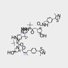 C/C(=C/C(=O)[C@@H]1C[C@@H](O)CN1C(=O)[C@@H](N1C=C(C2(/C(=C/N[C@H](C(=O)CC3C[C@H](O)C[C@H]3C(=O)NCc3ccc(-c4scnc4C)cc3)C(C)(C)C)N=N)CC2)C=CN1)C(C)(C)C)Cc1ccc(-c2scnc2C)cc1